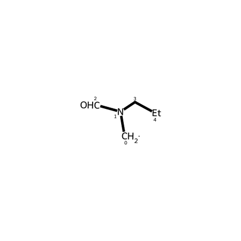 [CH2]N(C=O)CCC